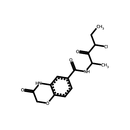 CCC(Cl)C(=O)C(C)NC(=O)c1ccc2c(c1)NC(=O)CO2